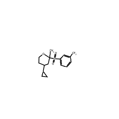 CC1(S(=O)(=O)c2cccc(C(F)(F)F)c2)CC(C2CC2)CCO1